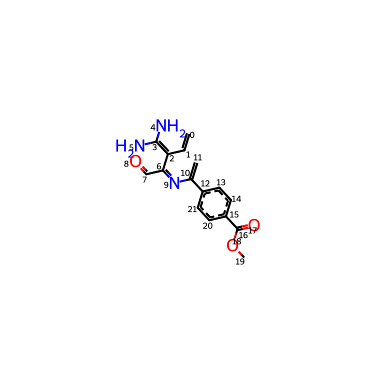 C=CC(=C(N)N)/C(C=O)=N\C(=C)c1ccc(C(=O)OC)cc1